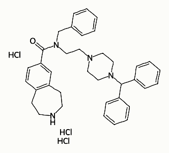 Cl.Cl.Cl.O=C(c1ccc2c(c1)CCNCC2)N(CCN1CCN(C(c2ccccc2)c2ccccc2)CC1)Cc1ccccc1